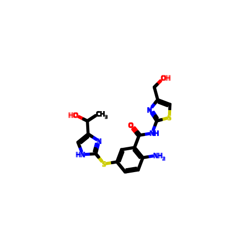 CC(O)c1c[nH]c(Sc2ccc(N)c(C(=O)Nc3nc(CO)cs3)c2)n1